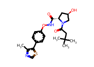 Cc1ncsc1-c1ccc(ONC(=O)[C@@H]2C[C@@H](O)CN2C(=O)CC(C)(C)C)cc1